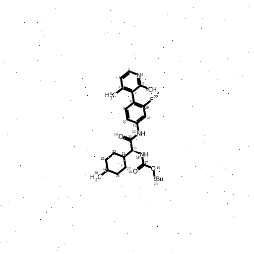 Cc1ccnc(C)c1-c1ccc(NC(=O)[C@@H](NC(=O)OC(C)(C)C)C2CCC(C)CC2)cc1F